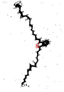 CCCCCCCCCCCCCCCCCC(=O)[C]12[CH]3[CH]4[CH]5[C]1(C(=O)CCCCCCCCCCCCCCCCC)[Fe]43521678[CH]2[CH]1[CH]6[CH]7[CH]28